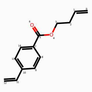 C=CCCOC(=O)c1ccc(C=C)cc1